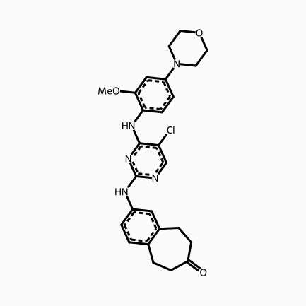 COc1cc(N2CCOCC2)ccc1Nc1nc(Nc2ccc3c(c2)CCC(=O)CC3)ncc1Cl